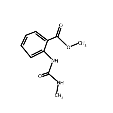 CNC(=O)Nc1ccccc1C(=O)OC